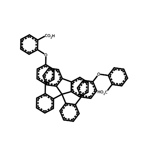 O=C(O)c1ccccc1Oc1ccc(-c2ccccc2C2(c3ccccc3-c3ccc(Oc4ccccc4C(=O)O)cc3)c3ccccc3-c3ccccc32)cc1